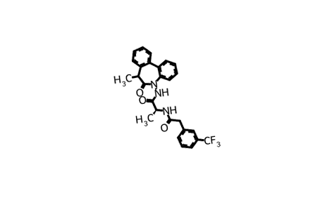 CC1C(=O)N(NC(=O)[C@H](C)NC(=O)Cc2cccc(C(F)(F)F)c2)c2ccccc2-c2ccccc21